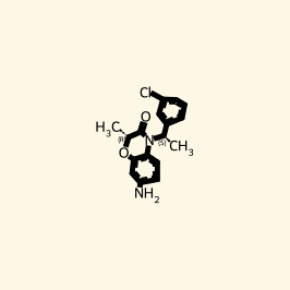 C[C@H]1Oc2cc(N)ccc2N([C@@H](C)c2cccc(Cl)c2)C1=O